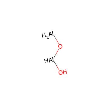 [OH][AlH][O][AlH2]